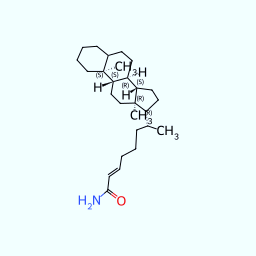 CC(CCCC=CC(N)=O)[C@H]1CC[C@H]2[C@@H]3CCC4CCCC[C@]4(C)[C@H]3CC[C@]12C